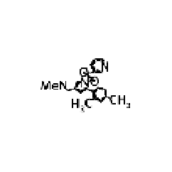 CNCc1cc(-c2ccc(C)cc2C)n(S(=O)(=O)c2cccnc2)c1